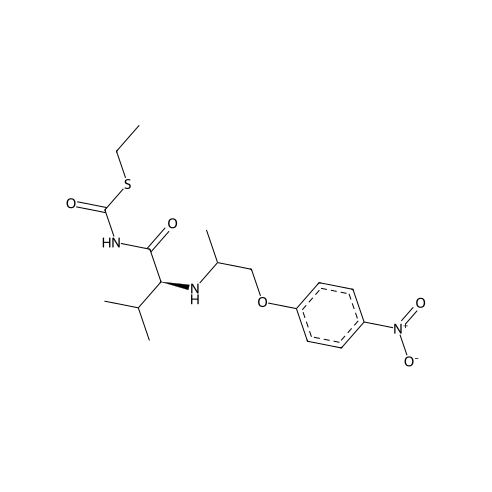 CCSC(=O)NC(=O)[C@@H](NC(C)COc1ccc([N+](=O)[O-])cc1)C(C)C